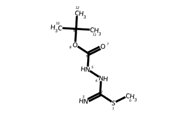 CSC(=N)NNC(=O)OC(C)(C)C